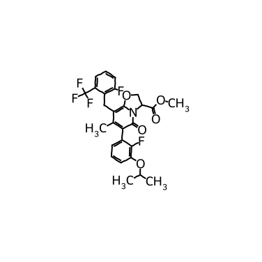 COC(=O)C1COc2c(Cc3c(F)cccc3C(F)(F)F)c(C)c(-c3cccc(OC(C)C)c3F)c(=O)n21